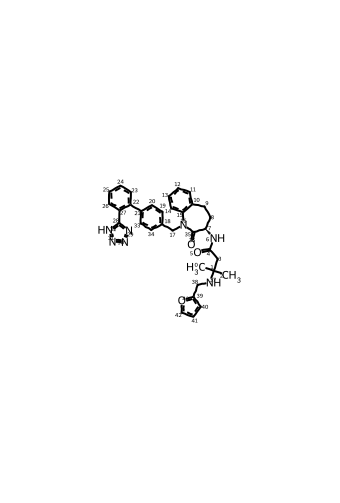 CC(C)(CC(=O)N[C@@H]1CCc2ccccc2N(Cc2ccc(-c3ccccc3-c3nnn[nH]3)cc2)C1=O)NCc1ccco1